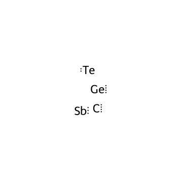 [C].[Ge].[Sb].[Te]